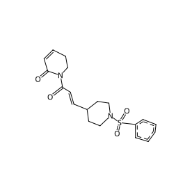 O=C1C=CCCN1C(=O)C=CC1CCN(S(=O)(=O)c2ccccc2)CC1